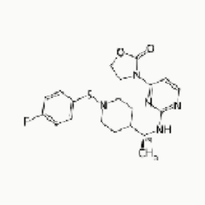 C[C@H](Nc1nccc(N2CCOC2=O)n1)C1CCN(Sc2ccc(F)cc2)CC1